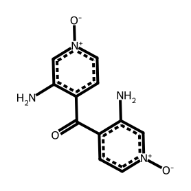 Nc1c[n+]([O-])ccc1C(=O)c1cc[n+]([O-])cc1N